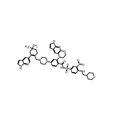 CC1(C)CCC(CN2CCN(c3ccc(C(=O)NS(=O)(=O)c4ccc(NCC5CCOCC5)c([N+](=O)[O-])c4)c(N4CCOc5nc6[nH]ccc6cc54)c3)CC2)=C(c2cnc3[nH]ccc3c2)C1